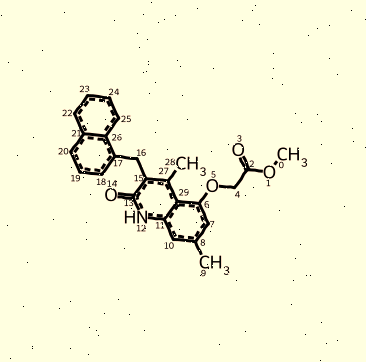 COC(=O)COc1cc(C)cc2[nH]c(=O)c(Cc3cccc4ccccc34)c(C)c12